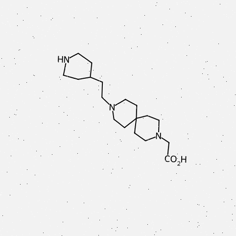 O=C(O)CN1CCC2(CCN(CCC3CCNCC3)CC2)CC1